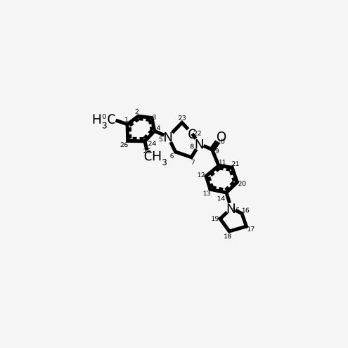 Cc1ccc(N2CCN(C(=O)c3ccc(N4CCCC4)cc3)CC2)c(C)c1